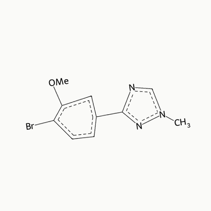 COc1cc(-c2ncn(C)n2)ccc1Br